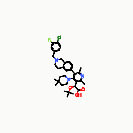 Cc1nc(C)c([C@H](OC(C)(C)C)C(=O)O)c(N2CCC(C)(C)CC2)c1-c1ccc2c(c1)CCN(Cc1ccc(Cl)c(F)c1)C2